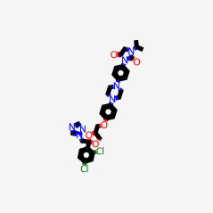 CC(C)N1CC(=O)N(c2ccc(N3CCN(c4ccc(OCC5COC(Cn6cncn6)(c6ccc(Cl)cc6Cl)O5)cc4)CC3)cc2)C1=O